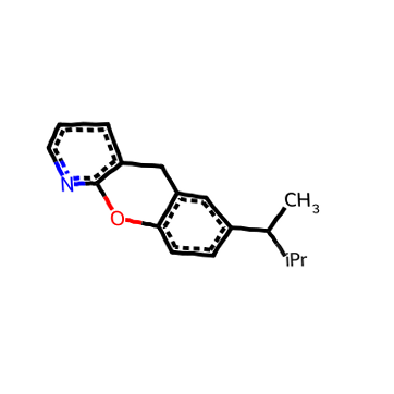 CC(C)C(C)c1ccc2c(c1)Cc1cccnc1O2